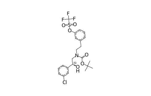 CC(C)(C)OC(=O)N(CCc1cccc(OS(=O)(=O)C(F)(F)F)c1)C[C@@H](O)c1cccc(Cl)c1